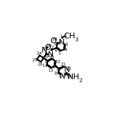 CCn1cccc(-c2nc(C3(c4ccc(-c5cnc(N)nc5)cc4)CCC3)no2)c1=O